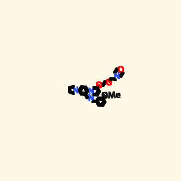 COc1cccc(CN(Cc2cccc(N3CCCC3)c2)c2ccc(OCCOCCN3CCOCC3)cn2)c1